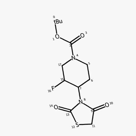 CC(C)(C)OC(=O)N1CCC(N2C(=O)CSC2=O)C(F)C1